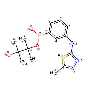 Cc1nnc(Nc2cccc(B(O)OC(C)(C)C(C)(C)O)c2)s1